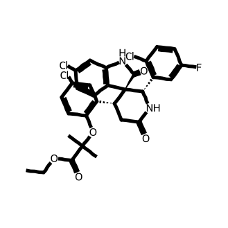 CCOC(=O)C(C)(C)Oc1ccc(Cl)cc1[C@H]1CC(=O)N[C@@H](c2cc(F)ccc2Cl)[C@]12C(=O)Nc1cc(Cl)ccc12